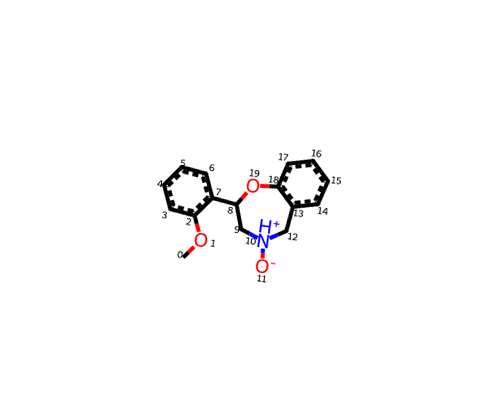 COc1ccccc1C1C[NH+]([O-])Cc2ccccc2O1